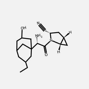 CCC1CC2CC(O)CC([C@H](N)C(=O)N3[C@H](C#N)C[C@@H]4C[C@@H]43)(C1)C2